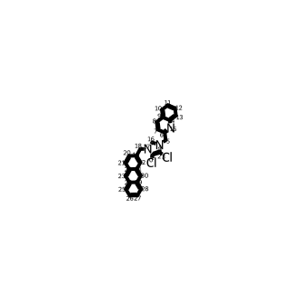 ClC1=C(Cl)N(Cc2ccc3ccccc3n2)CN1Cc1ccc2cc3ccccc3cc2c1